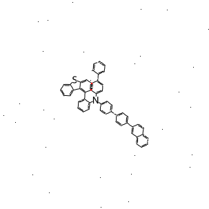 c1ccc(-c2ccc(N(c3ccc(-c4ccc(-c5ccc6ccccc6c5)cc4)cc3)c3ccccc3-c3cccc4sc5ccccc5c34)cc2)cc1